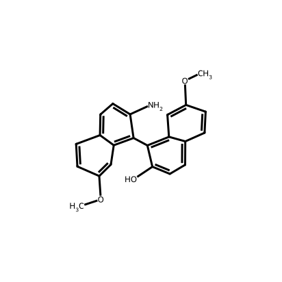 COc1ccc2ccc(N)c(-c3c(O)ccc4ccc(OC)cc34)c2c1